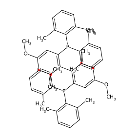 COc1cc(P(c2c(C)cccc2C)c2c(C)cccc2C)c(-c2c(P(c3c(C)cccc3C)c3c(C)cccc3C)cc(OC)nc2C)c(C)n1